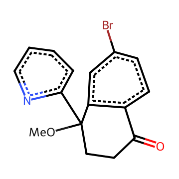 COC1(c2ccccn2)CCC(=O)c2ccc(Br)cc21